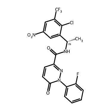 C[C@H](NC(=O)c1ccc(=O)n(-c2ccccc2F)n1)c1cc([N+](=O)[O-])cc(C(F)(F)F)c1Cl